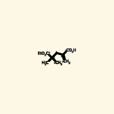 C=C(CC(C)(C)C(=O)OCC)C(=O)O